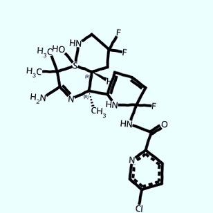 CC1(C)C(N)=N[C@](C)(C2=CC=CC(F)(NC(=O)c3ccc(Cl)cn3)N2)[C@H]2CC(F)(F)CNS21O